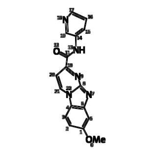 COc1ccc2c(c1)nc1nc(C(=O)Nc3cccnc3)ccn12